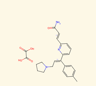 Cc1ccc(/C(=C\CN2CCCC2)c2cccc(/C=C/C(N)=O)n2)cc1.O=C(O)C(=O)O